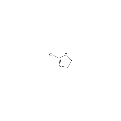 ClC1=N[C]CO1